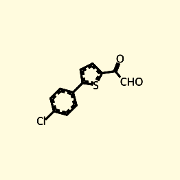 O=CC(=O)c1ccc(-c2ccc(Cl)cc2)s1